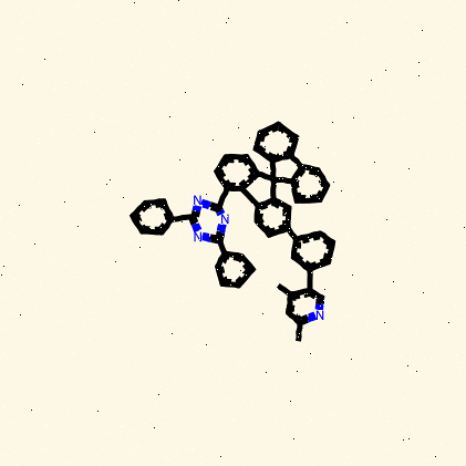 Cc1cc(C)c(-c2cccc(-c3ccc4c(c3)C3(c5ccccc5-c5ccccc53)c3cccc(-c5nc(-c6ccccc6)nc(-c6ccccc6)n5)c3-4)c2)cn1